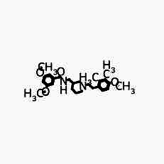 COc1cc(OC)cc(C(=O)NCC2CCCN(CCc3ccc(OC)c(C)c3C)C2)c1